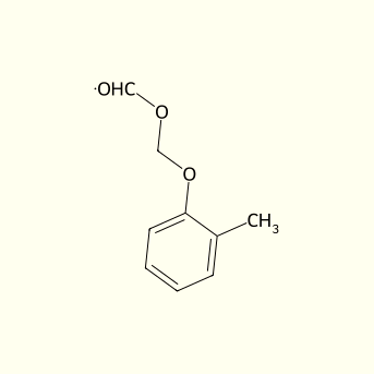 Cc1ccccc1OCO[C]=O